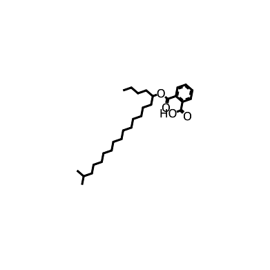 CCCCC(CCCCCCCCCCCCCC(C)C)OC(=O)c1ccccc1C(=O)O